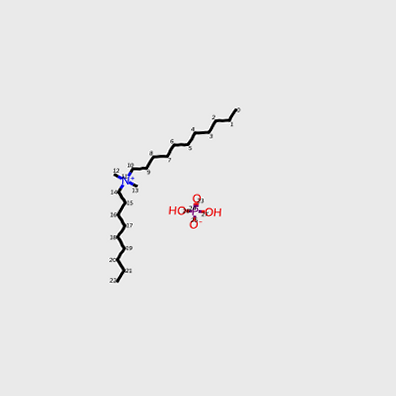 CCCCCCCCCCC[N+](C)(C)CCCCCCCCC.O=P([O-])(O)O